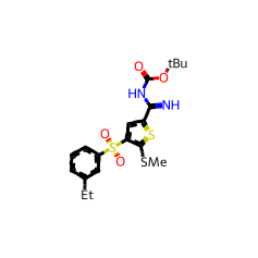 CCc1cccc(S(=O)(=O)c2cc(C(=N)NC(=O)OC(C)(C)C)sc2SC)c1